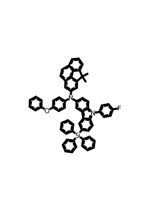 CC1(C)c2cccc3ccc4cc(N(c5ccc(Oc6ccccc6)cc5)c5ccc6c(c5)c5cc([Si](c7ccccc7)(c7ccccc7)c7ccccc7)ccc5n6-c5ccc(F)cc5)cc1c4c23